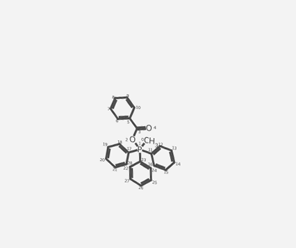 CP(OC(=O)c1ccccc1)(c1ccccc1)(c1ccccc1)c1ccccc1